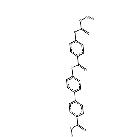 CCCCCCCCCOC(=O)Oc1ccc(C(=O)Oc2ccc(-c3ccc(C(=O)OC[C@@H](C)CC)cc3)cc2)cc1